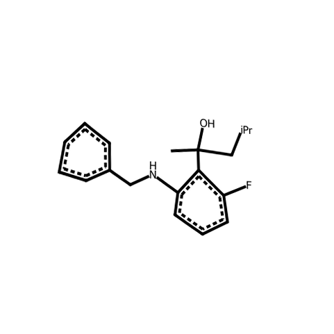 CC(C)CC(C)(O)c1c(F)cccc1NCc1ccccc1